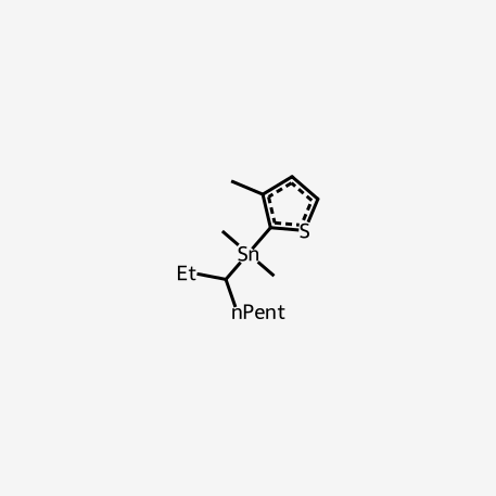 CCCCC[CH](CC)[Sn]([CH3])([CH3])[c]1sccc1C